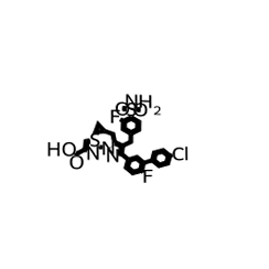 NS(=O)(=O)c1ccc(Cc2c(-c3ccc(F)c(-c4ccc(Cl)cc4)c3)nn(-c3nc(C(=O)O)cs3)c2CC2CC2)cc1F